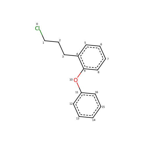 ClCCCc1ccccc1Oc1ccccc1